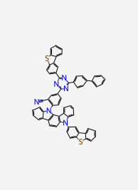 N#Cc1cc(-c2nc(-c3ccc(-c4ccccc4)cc3)nc(-c3ccc4sc5ccccc5c4c3)n2)ccc1-n1c2ccccc2c2ccc3c(c4ccccc4n3-c3ccc4sc5ccccc5c4c3)c21